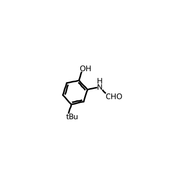 CC(C)(C)c1ccc(O)c(NC=O)c1